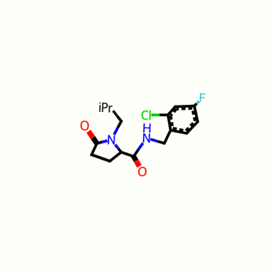 CC(C)CN1C(=O)CCC1C(=O)NCc1ccc(F)cc1Cl